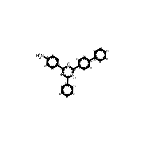 Nc1ccc(-c2nc(-c3ccccc3)nc(-c3ccc(-c4ccccc4)cc3)n2)cc1